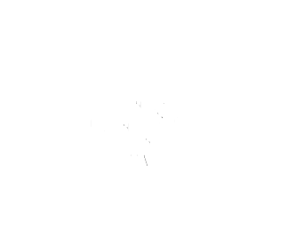 C=C(O)CN1CCN(CC(=O)O)CCN(CC(=O)O)CC(C(C)C)N(CC(=O)O)CC1